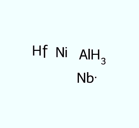 [AlH3].[Hf].[Nb].[Ni]